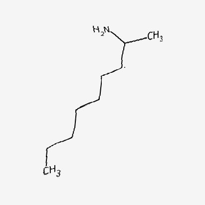 CCCCCC[CH]C(C)N